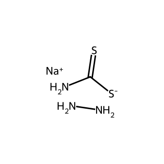 NC(=S)[S-].NN.[Na+]